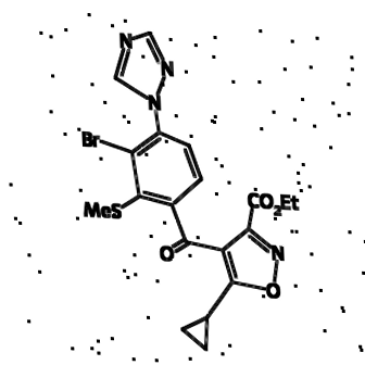 CCOC(=O)c1noc(C2CC2)c1C(=O)c1ccc(-n2cncn2)c(Br)c1SC